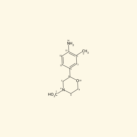 Cc1cc(C2CN(C(=O)O)CCO2)ccc1N